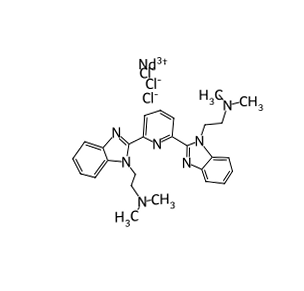 CN(C)CCn1c(-c2cccc(-c3nc4ccccc4n3CCN(C)C)n2)nc2ccccc21.[Cl-].[Cl-].[Cl-].[Nd+3]